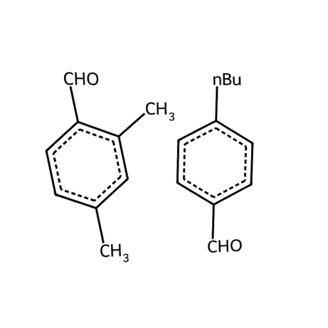 CCCCc1ccc(C=O)cc1.Cc1ccc(C=O)c(C)c1